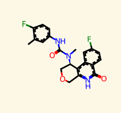 Cc1cc(NC(=O)N(C)[C@@H]2COCc3[nH]c(=O)c4ccc(F)cc4c32)ccc1F